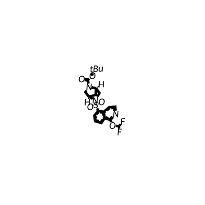 CC(C)(C)OC(=O)N1C[C@H]2C[C@@H]1CN2S(=O)(=O)c1cccc2c(OC(F)F)nccc12